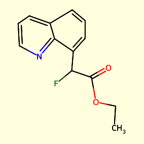 CCOC(=O)C(F)c1cccc2cccnc12